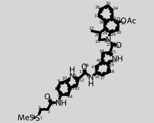 CSSCCC(=O)Nc1ccc2[nH]c(C(=O)Nc3ccc4[nH]c(C(=O)N5CC(C)c6c5cc(OC(C)=O)c5ccccc65)cc4c3)cc2c1